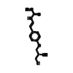 COC(=O)NC=Cc1ccc(OCC(O)CCl)cc1